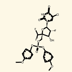 COc1ccc(OP(=O)(OC[C@@]2(C(F)F)O[C@@H](n3cc(Cl)c(=O)[nH]c3=O)[C@H](F)[C@@H]2O)Oc2ccc(OC)cc2)cc1